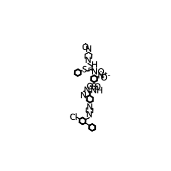 CON=C1CCN(CC[C@H](CSc2ccccc2)Nc2ccc(S(=O)(=O)Nc3ncnc4cc(N5CCN(Cc6cc(Cl)ccc6-c6ccccc6)CC5)ccc34)cc2[N+](=O)[O-])CC1